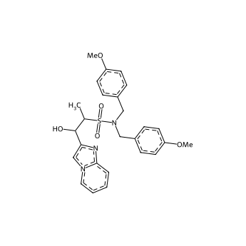 COc1ccc(CN(Cc2ccc(OC)cc2)S(=O)(=O)C(C)C(O)c2cn3ccccc3n2)cc1